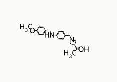 COc1ccc(CNc2ccc(CN3CC([C@H](C)O)C3)cc2)cc1